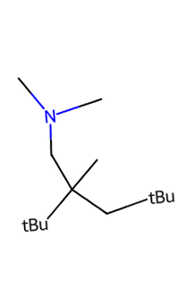 CN(C)CC(C)(CC(C)(C)C)C(C)(C)C